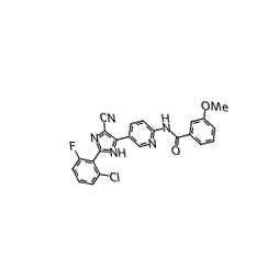 COc1cccc(C(=O)Nc2ccc(-c3[nH]c(-c4c(F)cccc4Cl)nc3C#N)cn2)c1